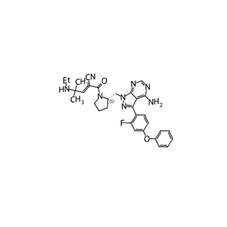 CCNC(C)(C)C=C(C#N)C(=O)N1CCC[C@H]1Cn1nc(-c2ccc(Oc3ccccc3)cc2F)c2c(N)ncnc21